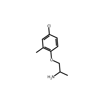 Cc1cc(Cl)ccc1OCC(C)N